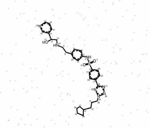 O=S(=O)(Nc1ccc(CCNCC(O)c2cccnc2)cc1)c1ccc(-c2nnn(CCCC3CCCC3)n2)cc1